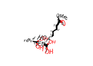 CCC(O)O.CCCC(O)O.COC(=O)CCCCC(=O)O